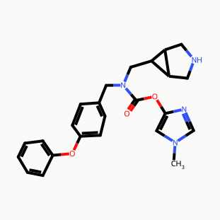 Cn1cnc(OC(=O)N(Cc2ccc(Oc3ccccc3)cc2)CC2C3CNCC32)c1